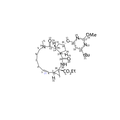 CCOC(=O)[C@@]12C[C@H]1/C=C\CCCCN(C)C(=O)[C@@H]1C[C@H](Oc3cc(C(C)(C)C)nc(OC)n3)C[C@H]1C(=O)N2